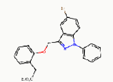 CCOC(=O)Cc1ccccc1OCc1nn(-c2ccccc2)c2ccc(Br)cc12